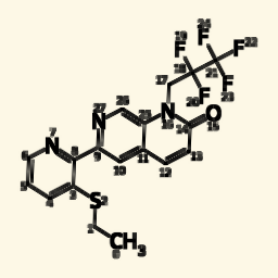 CCSc1cccnc1-c1cc2ccc(=O)n(CC(F)(F)C(F)(F)F)c2cn1